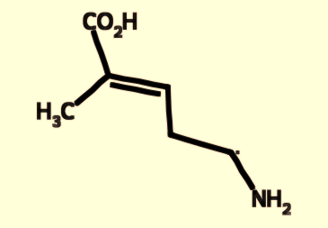 CC(=CC[CH]N)C(=O)O